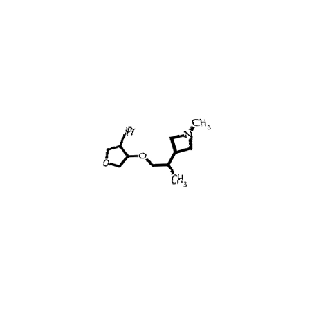 CC(C)C1COCC1OCC(C)C1CN(C)C1